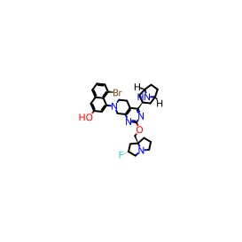 Oc1cc(N2CCc3c(nc(OC[C@@]45CCCN4C[C@H](F)C5)nc3[C@@H]3C[C@H]4CC[C@@H](C3)N4)C2)c2c(Br)cccc2c1